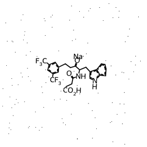 O=C(O)CCC(=O)NC(Cc1c[nH]c2ccccc12)C(=O)CCc1cc(C(F)(F)F)cc(C(F)(F)F)c1.[Na]